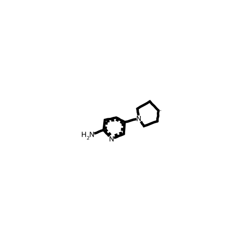 Nc1ccc(N2CC[CH]CC2)cn1